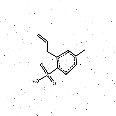 C=CCc1cc(C)ccc1S(=O)(=O)O